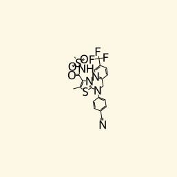 Cc1sc(N(Cc2ccc(C(F)(F)F)cn2)c2ccc(C#N)cc2)nc1C(=O)NS(C)(=O)=O